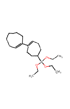 CCO[Si](OCC)(OCC)C1CCC=C(C2=CCCCCC2)CC1